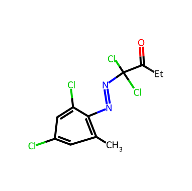 CCC(=O)C(Cl)(Cl)/N=N/c1c(C)cc(Cl)cc1Cl